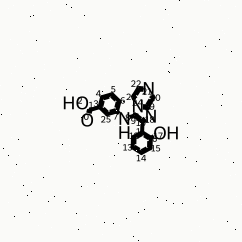 O=C(O)c1cccc(Nc2c(-c3ccccc3O)nc3cnccn23)c1